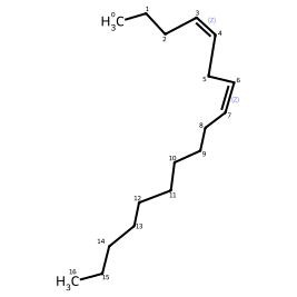 CCC/C=C\C/C=C\CCCCCCCCC